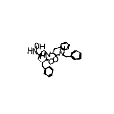 O=C(C[C@@H](Cc1ccccc1)C(=O)N[C@@H](Cc1ccccc1)C(=O)NCc1ccccc1)NO